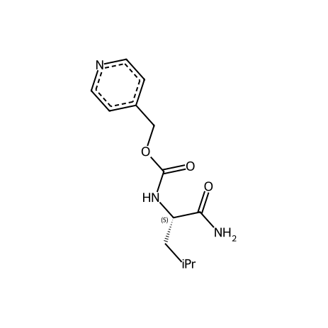 CC(C)C[C@H](NC(=O)OCc1ccncc1)C(N)=O